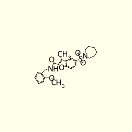 COc1ccccc1CNC(=O)c1oc2ccc(S(=O)(=O)N3CCCCCC3)cc2c1C